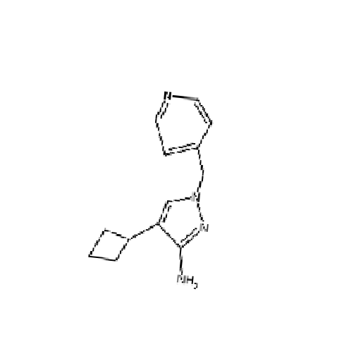 Nc1nn(Cc2ccncc2)cc1C1CCC1